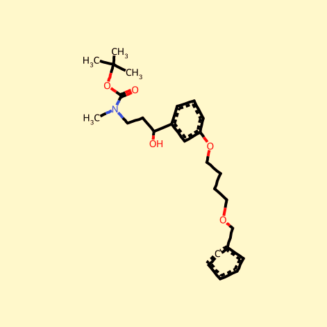 CN(CCC(O)c1cccc(OCCCCOCc2ccccc2)c1)C(=O)OC(C)(C)C